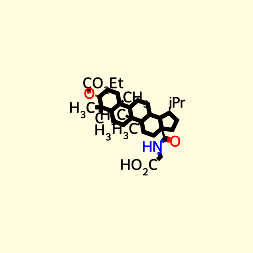 CCOC(=O)O[C@@H]1CC[C@@]2(C)C(CC[C@]3(C)C2CCC2C4[C@H](C(C)C)CC[C@]4(C(=O)NCC(=O)O)CC[C@]23C)C1(C)C